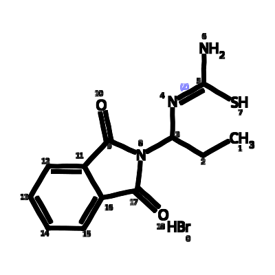 Br.CCC(/N=C(/N)S)N1C(=O)c2ccccc2C1=O